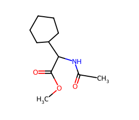 COC(=O)C(NC(C)=O)C1CCCCC1